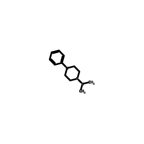 CN(C)N1CCN(c2ccccc2)CC1